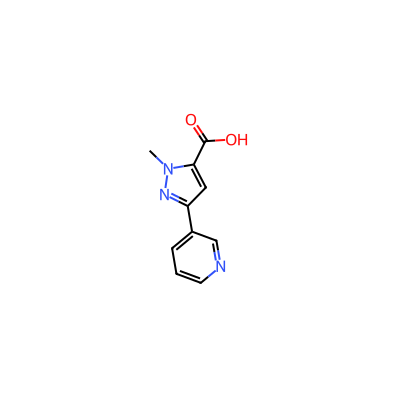 Cn1nc(-c2cccnc2)cc1C(=O)O